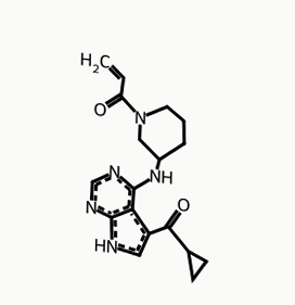 C=CC(=O)N1CCCC(Nc2ncnc3[nH]cc(C(=O)C4CC4)c23)C1